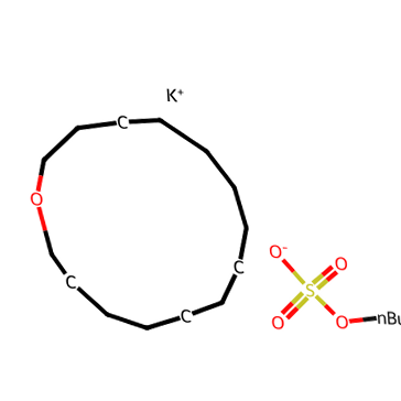 C1CCCCCCCOCCCCCC1.CCCCOS(=O)(=O)[O-].[K+]